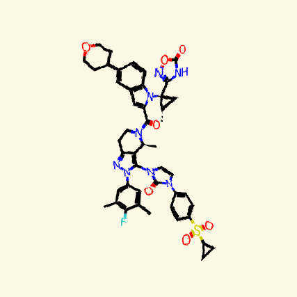 Cc1cc(-n2nc3c(c2-n2ccn(-c4ccc(S(=O)(=O)C5CC5)cc4)c2=O)[C@H](C)N(C(=O)c2cc4cc(C5CCOCC5)ccc4n2[C@@]2(c4noc(=O)[nH]4)C[C@@H]2C)CC3)cc(C)c1F